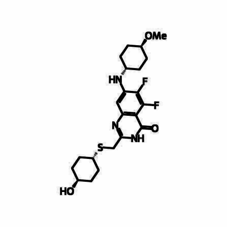 CO[C@H]1CC[C@H](Nc2cc3nc(CS[C@H]4CC[C@H](O)CC4)[nH]c(=O)c3c(F)c2F)CC1